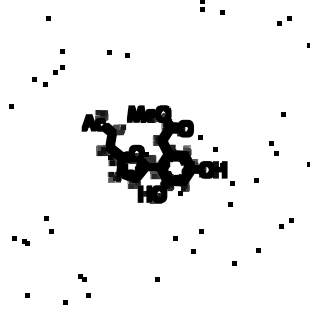 COC(=O)Cc1cc(O)cc(O)c1-c1ccc(CCC(C)=O)o1